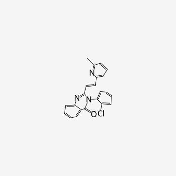 Cc1cccc(C=Cc2nc3ccccc3c(=O)n2-c2ccccc2Cl)n1